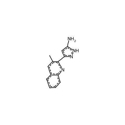 Cc1cc2ccccc2nc1-c1cc(N)[nH]n1